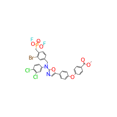 COC(=O)c1ccc(Oc2ccc(-c3cnc(N(Cc4ccc(CP(=O)(OF)OF)c(Br)c4)c4ccc(Cl)c(Cl)c4)o3)cc2)cc1